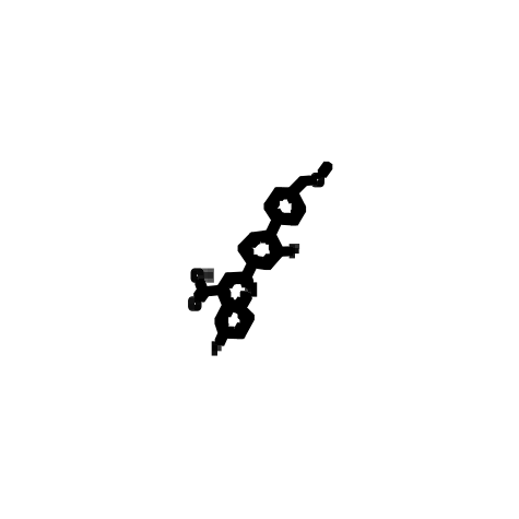 COCc1ccc(-c2ccc(-c3cc(C(=O)O)c4cc(F)ccc4n3)cc2F)cc1